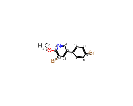 COc1ncc(-c2ccc(Br)cc2)cc1Br